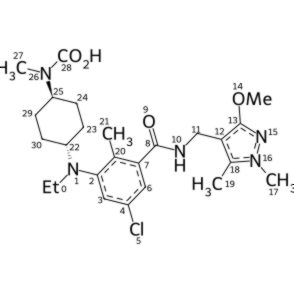 CCN(c1cc(Cl)cc(C(=O)NCc2c(OC)nn(C)c2C)c1C)[C@H]1CC[C@H](N(C)C(=O)O)CC1